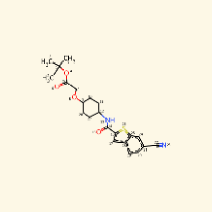 CC(C)(C)OC(=O)COC1CCC(NC(=O)c2cc3ccc(C#N)cc3s2)CC1